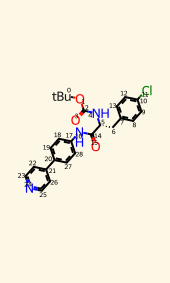 CC(C)(C)OC(=O)N[C@H](Cc1ccc(Cl)cc1)C(=O)Nc1ccc(-c2ccncc2)cc1